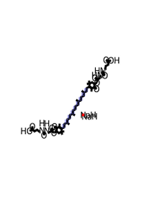 CC1=C(/C=C/C(C)=C/C=C/C(C)=C/C=C/C=C(C)/C=C/C=C(C)/C=C/C2=C(C)C(=O)C(OC(=O)CNC(=O)NCCCC(=O)O)CC2(C)C)C(C)(C)CC(OC(=O)CNC(=O)NCCCC(=O)O)C1=O.[NaH].[NaH]